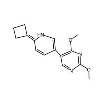 COc1ncc(C2=CNC(=C3CCC3)C=C2)c(OC)n1